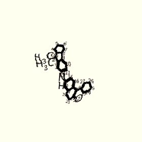 CC1(C)c2ccccc2-c2ccc(Nc3ccc4c(ccc5oc6ccccc6c54)c3)cc21